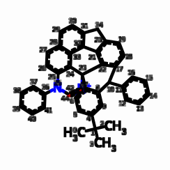 CC(C)(C)c1ccc2c(c1)C(c1ccccc1)c1ccc3c4c1C21c2c(ccc5ccc(c-4c25)C3)N(c2ccccc2)c2cccc[n+]21